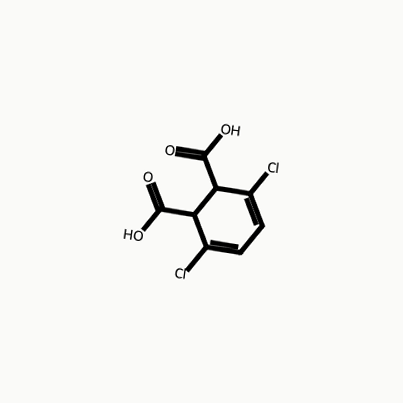 O=C(O)C1C(Cl)=CC=C(Cl)C1C(=O)O